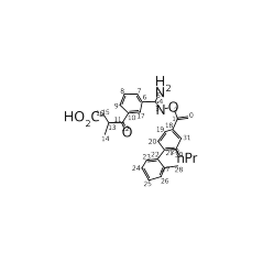 C=C(O/N=C(\N)c1cccc(C(=O)C(C)CC(=O)O)c1)c1ccc(-c2ccccc2C)c(CCC)c1